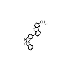 Cc1ccc2oc3c(-c4ccc5nc6oc7ccccc7n6c5c4)cccc3c2c1